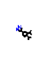 CC(C)c1ccc(-c2cnn(C)c2)cc1C(C)C